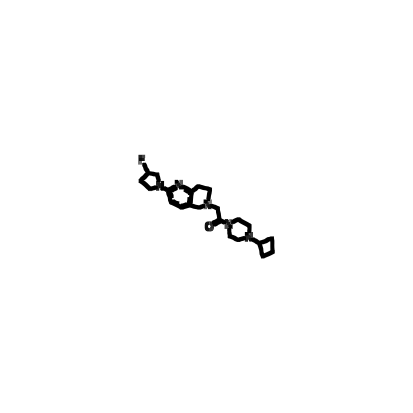 O=C(CN1CCc2nc(N3CCC(F)C3)ccc2C1)N1CCN(C2CCC2)CC1